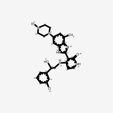 CCN1CCN(c2cc(C)c3nc(-c4c(NCC(O)c5cccc(Cl)c5)cc[nH]c4=O)[nH]c3c2)CC1